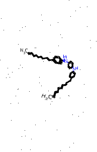 CCCCCCCCCCc1ccc(Nc2ccc(Nc3ccc(CCCCCCCCCC)cc3)cc2)cc1